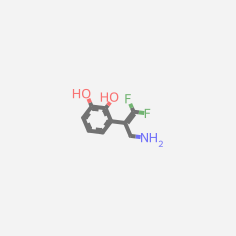 NCC(=C(F)F)c1cccc(O)c1O